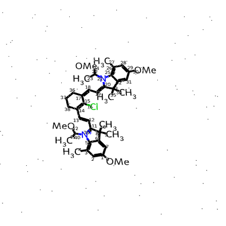 COc1cc(C)c2c(c1)C(C)(C)C(/C=C/C1=C(Cl)C(=C\C=C3/N(C(C)OC)c4c(C)cc(OC)cc4C3(C)C)/CCC1)=[N+]2C(C)OC